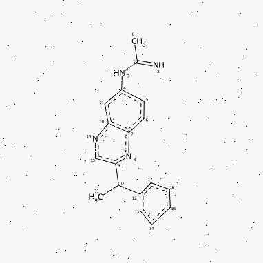 CC(=N)Nc1ccc2nc(C(C)c3ccccc3)cnc2c1